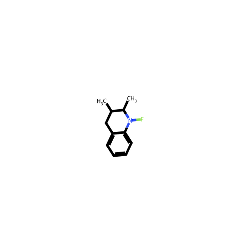 CC1Cc2ccccc2N(F)C1C